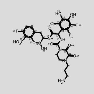 NCCCN1CCN(C(=O)NC(C(=O)NC2Cc3ccc(F)c(C(=O)O)c3OB2O)c2c(F)c(F)c(O)c(O)c2Cl)C(=O)C1=O